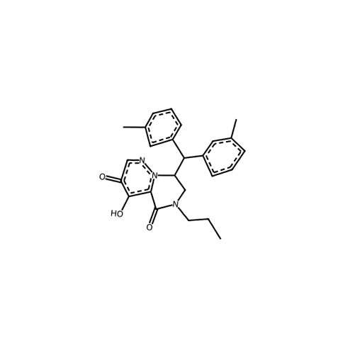 CCCN1CC(C(c2cccc(C)c2)c2cccc(C)c2)n2ncc(=O)c(O)c2C1=O